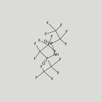 O=[PH](NP(=O)(C(F)(F)C(F)(F)F)C(F)(F)C(F)(F)F)C(F)(F)C(F)(F)F